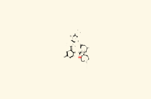 N#Cc1cnc(NC(=O)c2cc(Cl)ccc2OC(=O)[N+]2(C3CCNCC3)CCCCC2)cn1